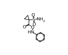 NS(=O)(=O)C1(C(=O)ONc2ccccc2)CC1